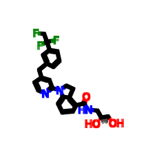 O=C(NC[C@H](O)CO)c1cccc2c1CCN2c1cc(Cc2cccc(C(F)(F)CF)c2)ccn1